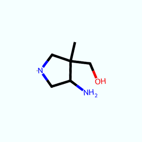 CC1(CO)C[N]CC1N